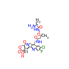 CC[C@@]1(O)C(=O)OCc2c1cc1n(c2=O)Cc2c-1nc1cc(F)c(Cl)cc1c2CNC(=O)C[C@H](C)OCNC(=O)[C@H](C)N